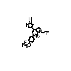 O=c1c2c(ccn2CCF)c(-c2cn[nH]c2)cn1-c1ccc(OC(F)(F)F)cc1